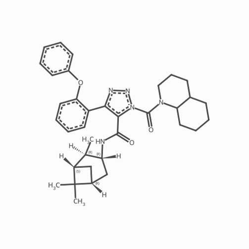 C[C@H]1[C@H](NC(=O)c2c(-c3ccccc3Oc3ccccc3)nnn2C(=O)N2CCCC3CCCCC32)C[C@H]2C[C@@H]1C2(C)C